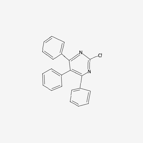 Clc1nc(-c2ccccc2)c(-c2ccccc2)c(-c2ccccc2)n1